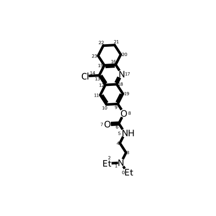 CCN(CC)CCNC(=O)Oc1ccc2c(Cl)c3c(nc2c1)CCCC3